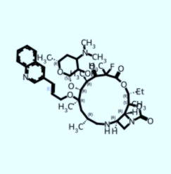 CC[C@H]1OC(=O)C(C)(F)C(=O)[C@H](C)[C@@H](O[C@@H]2O[C@H](C)CC(N(C)C)C2O)[C@](C)(OC/C=C/c2cnc3ccccc3c2)C[C@@H](C)CN[C@@H]2CN3C(=O)O[C@@]1(C)[C@@H]23